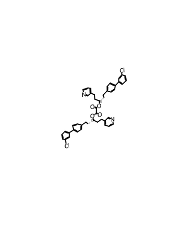 O=C(O[C@@H](CCc1ccc(-c2cccc(Cl)c2)cc1)CCc1cccnc1)C(=O)O[C@@H](CCc1ccc(-c2cccc(Cl)c2)cc1)CCc1cccnc1